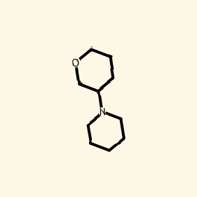 [CH]1CCC(N2CCCCC2)CO1